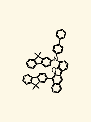 CC1(C)c2ccccc2-c2ccc(-c3c4ccccc4cc4c3oc3c(N(c5ccc(-c6ccccc6)cc5)c5ccc6c(c5)C(C)(C)c5ccccc5-6)cccc34)cc21